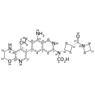 Cc1c(-c2cc3cc(N(C(=O)O)[C@H]4C[C@@H](C(=O)N5CCC5)C4)ncc3c(N)c2F)cnc2c1NCCO2